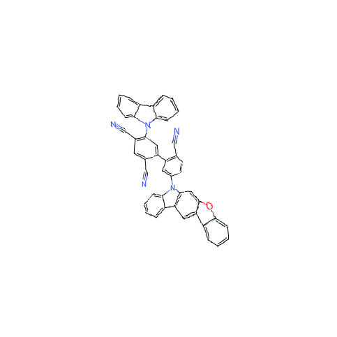 N#Cc1ccc(-n2c3ccccc3c3cc4c(cc32)oc2ccccc24)cc1-c1cc(-n2c3ccccc3c3ccccc32)c(C#N)cc1C#N